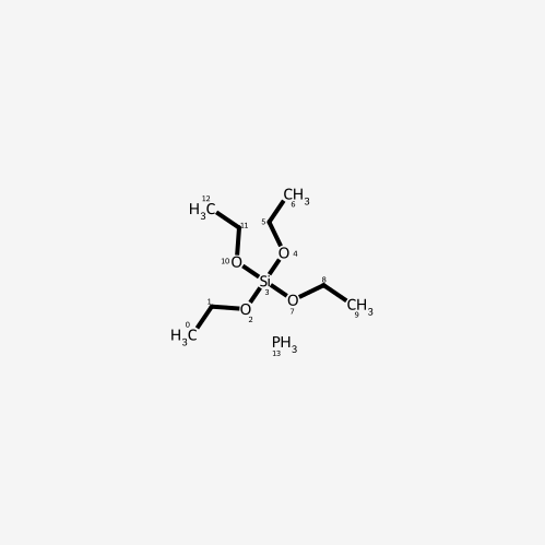 CCO[Si](OCC)(OCC)OCC.P